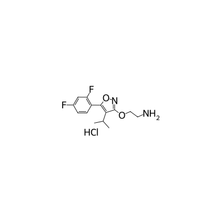 CC(C)c1c(OCCN)noc1-c1ccc(F)cc1F.Cl